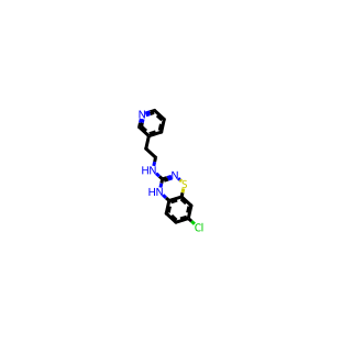 Clc1ccc2c(c1)SN=C(NCCc1cccnc1)N2